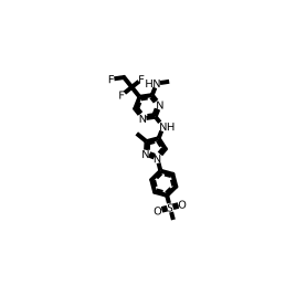 CNc1nc(Nc2cn(-c3ccc(S(C)(=O)=O)cc3)nc2C)ncc1C(F)(F)CF